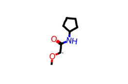 CO[CH]C(=O)NC1CCCC1